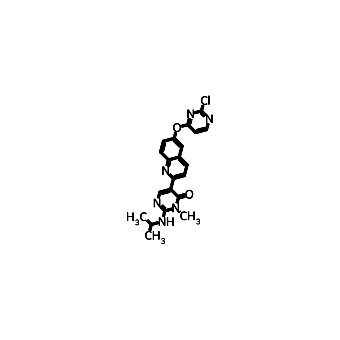 CC(C)Nc1ncc(-c2ccc3cc(Oc4ccnc(Cl)n4)ccc3n2)c(=O)n1C